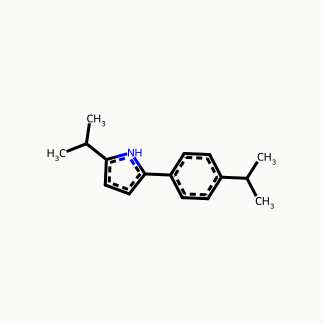 CC(C)c1ccc(-c2ccc(C(C)C)[nH]2)cc1